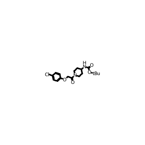 CC(C)(C)OC(=O)NC1CCN(C(=O)COc2ccc(Cl)cc2)CC1